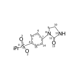 CC(C)S(=O)(=O)c1ccc(N2CCNC2=O)cc1